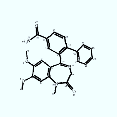 COc1cc2c(cc1OC)N(C)C(=O)CN=C2c1cc(C(N)=O)ccc1-c1ccccc1